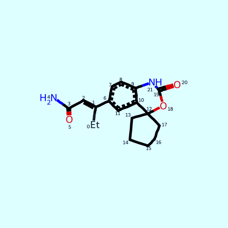 CC/C(=C\C(N)=O)c1ccc2c(c1)C1(CCCCC1)OC(=O)N2